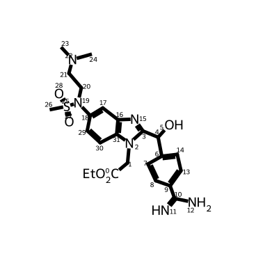 CCOC(=O)Cn1c(C(O)c2ccc(C(=N)N)cc2)nc2cc(N(CCN(C)C)S(C)(=O)=O)ccc21